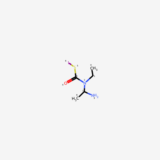 CCN(C(=O)SI)C(C)N